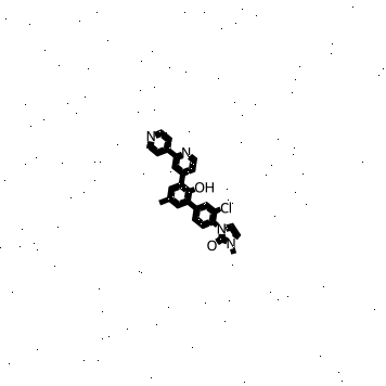 Cc1cc(-c2ccnc(-c3ccncc3)c2)c(O)c(-c2ccc(-n3ccn(C)c3=O)c(Cl)c2)c1